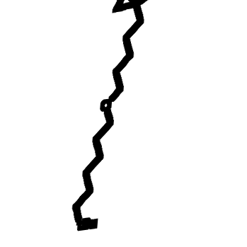 CC(C)(C)CCCCCCOCCCCCC1(C)CC1